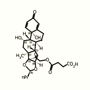 CCC[C@@H]1O[C@@H]2C[C@H]3[C@@H]4CCC5=CC(=O)C=C[C@]5(C)[C@H]4[C@@H](O)C[C@]3(C)[C@]2(C(=O)COC(=O)CCC(=O)O)O1